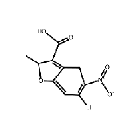 CC1OC2=CC(Cl)=C([N+](=O)[O-])CC2=C1C(=O)O